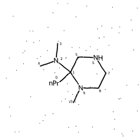 CCCC1(N(C)C)CNCCN1C